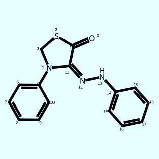 O=C1SCN(c2ccccc2)C1=NNc1ccccc1